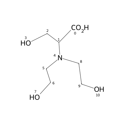 O=C(O)C(CO)N(CCO)CCO